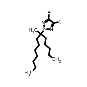 CCCCCCCC(C)(CCCCC)n1nc(Cl)c(Br)n1